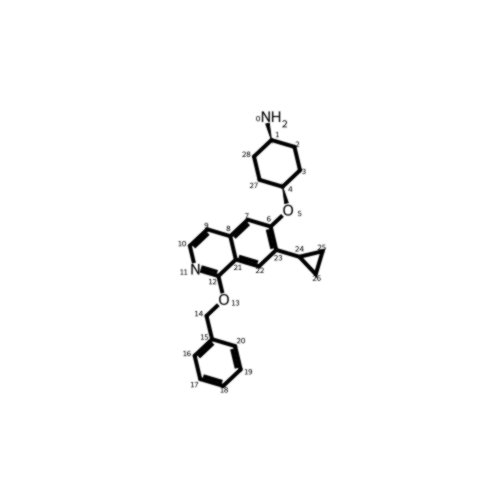 N[C@H]1CC[C@@H](Oc2cc3ccnc(OCc4ccccc4)c3cc2C2CC2)CC1